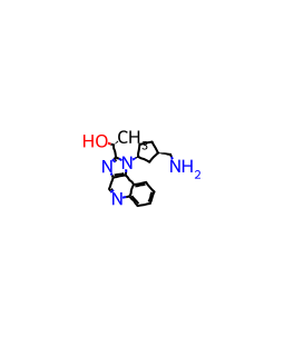 C[C@@H](O)c1nc2cnc3ccccc3c2n1[C@H]1CC[C@@H](CN)C1